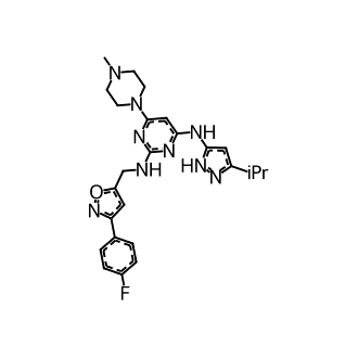 CC(C)c1cc(Nc2cc(N3CCN(C)CC3)nc(NCc3cc(-c4ccc(F)cc4)no3)n2)[nH]n1